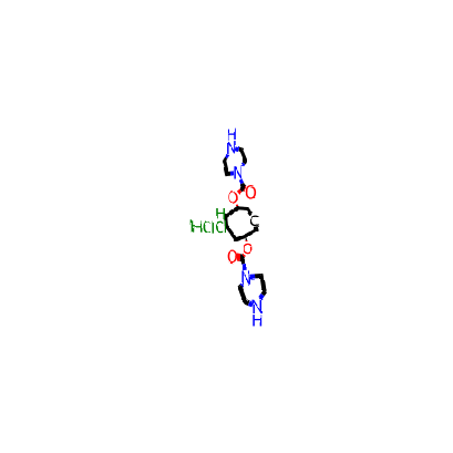 Cl.Cl.O=C(O[C@H]1CCC[C@@H](OC(=O)N2CCNCC2)CCC1)N1CCNCC1